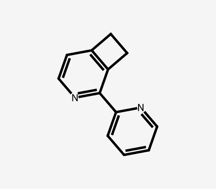 c1ccc(-c2nccc3c2CC3)nc1